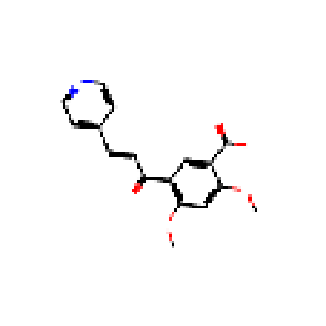 COc1cc(OC)c(C(=O)C=Cc2ccncc2)cc1C(=O)O